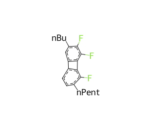 CCCCCc1ccc2c(c1F)-c1c-2cc(CCCC)c(F)c1F